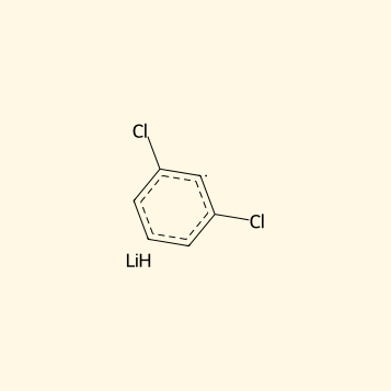 Clc1[c]c(Cl)ccc1.[LiH]